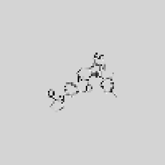 CC(=O)c1nn(-c2ccc(C)cc2C)c2c1CCN(c1ccc(N3CCCC3=O)cc1C)C2=O